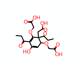 CCC(=O)C1=C(OCC(=O)O)C(CC(=O)O)(C(=O)CC)C(OCC(=O)O)C=C1O